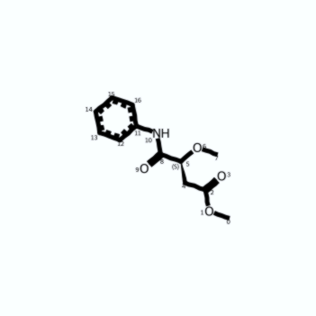 COC(=O)C[C@H](OC)C(=O)Nc1ccccc1